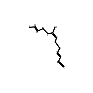 C=CC=CCCC=C(C)CCC=CC